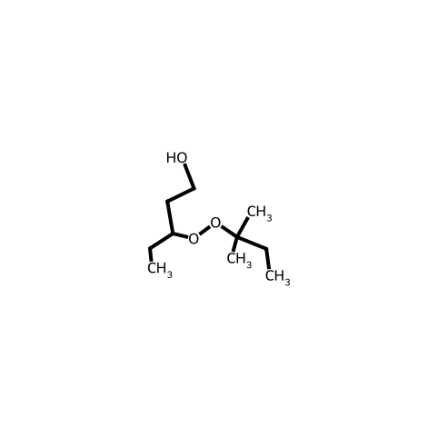 CCC(CCO)OOC(C)(C)CC